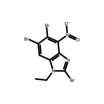 CCn1c(Br)nc2c([N+](=O)[O-])c(Br)c(Br)cc21